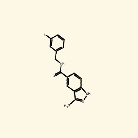 Nc1n[nH]c2ccc(C(=O)NCc3cccc(F)c3)cc12